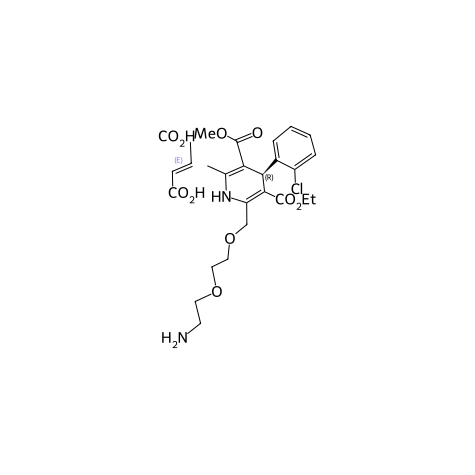 CCOC(=O)C1=C(COCCOCCN)NC(C)=C(C(=O)OC)[C@H]1c1ccccc1Cl.O=C(O)/C=C/C(=O)O